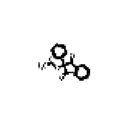 CC(=O)OC(C(C)=O)(C(=O)c1ccccc1)c1ccccc1